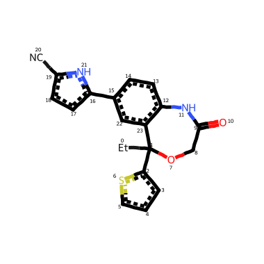 CCC1(c2cccs2)OCC(=O)Nc2ccc(-c3ccc(C#N)[nH]3)cc21